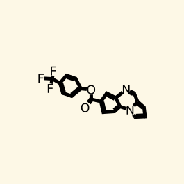 O=C(Oc1ccc(C(F)(F)F)cc1)c1ccc2c(c1)ncc1cccn12